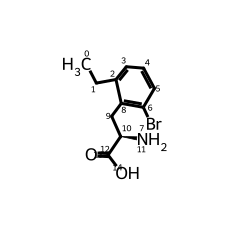 CCc1cccc(Br)c1C[C@@H](N)C(=O)O